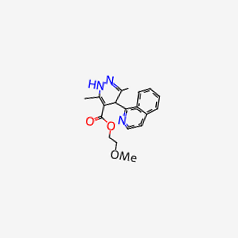 COCCOC(=O)C1=C(C)NN=C(C)C1c1nccc2ccccc12